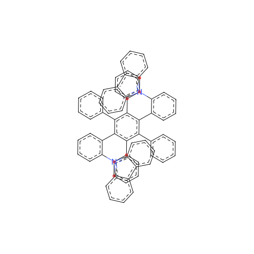 c1ccc(-c2c(-c3ccccc3)c(-c3ccccc3-n3c4ccccc4c4ccccc43)c(-c3ccccc3)c(-c3ccccc3)c2-c2ccccc2-n2c3ccccc3c3ccccc32)cc1